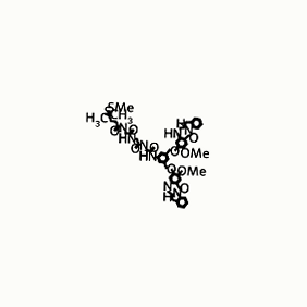 COc1cc2c(cc1OCc1cc(COc3cc4c(cc3OC)C(=O)N3c5ccccc5C[C@H]3CN4)cc(NC(=O)CNC(=O)CNC(=O)CNC(=O)CCC(C)(C)SSC)c1)N=C[C@@H]1Cc3ccccc3N1C2=O